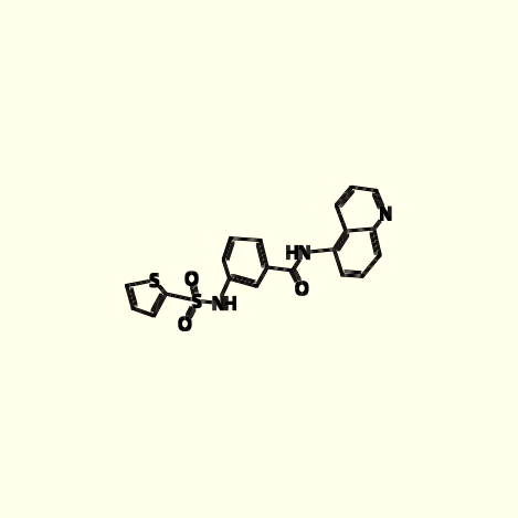 O=C(Nc1cccc2ncccc12)c1cccc(NS(=O)(=O)c2cccs2)c1